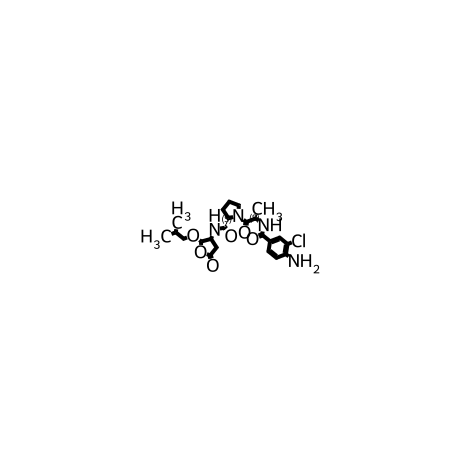 CC(C)COC1OC(=O)CC1NC(=O)[C@@H]1CCCN1C(=O)[C@H](C)NC(=O)c1ccc(N)c(Cl)c1